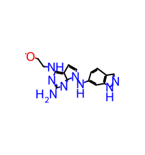 COCCNc1nc(N)nc2c1ccn2Nc1ccc2cn[nH]c2c1